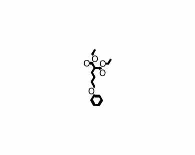 CCOC(=O)C(CCCCOc1ccccc1)C(=O)OCC